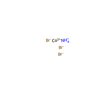 [Br-].[Br-].[Br-].[Co+2].[NH4+]